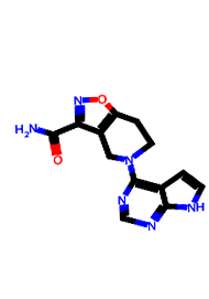 NC(=O)c1noc2c1CN(c1ncnc3[nH]ccc13)CC2